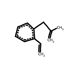 C=Cc1ccccc1CC(=C)C